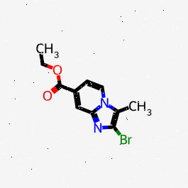 CCOC(=O)c1ccn2c(C)c(Br)nc2c1